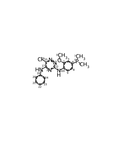 COc1cc(P(C)C)ccc1Nc1nnc(Cl)c(Nc2ccccc2)n1